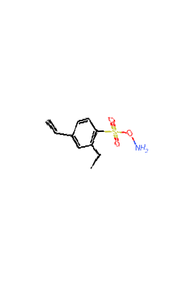 C=Cc1ccc(S(=O)(=O)ON)c(CC)c1